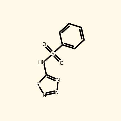 O=S(=O)(Nc1nnns1)c1ccccc1